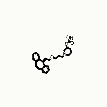 O=C(O)O[C@@H]1CCCN(CCCOCC=C2c3ccccc3C=Cc3ccccc32)C1